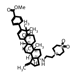 CC=C1CC[C@]2(NCCN3CCS(=O)(=O)CC3)CC[C@]3(C)[C@H](CC[C@@H]4[C@@]5(C)CC=C(c6ccc(C(=O)OC)cc6)C(C)(C)[C@@H]5CC[C@]43C)[C@@H]12